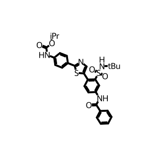 CC(C)OC(=O)Nc1ccc(-c2ncc(-c3ccc(NC(=O)c4ccccc4)cc3S(=O)(=O)NC(C)(C)C)s2)cc1